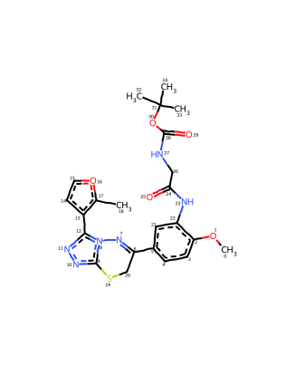 COc1ccc(C2=Nn3c(nnc3-c3ccoc3C)SC2)cc1NC(=O)CNC(=O)OC(C)(C)C